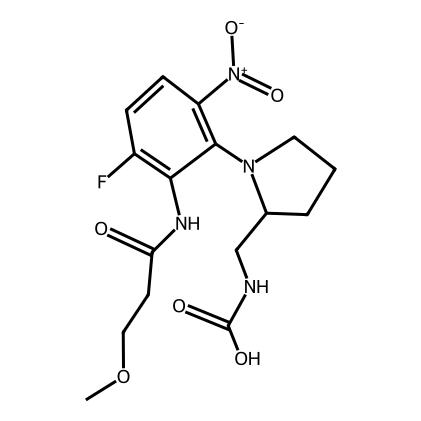 COCCC(=O)Nc1c(F)ccc([N+](=O)[O-])c1N1CCCC1CNC(=O)O